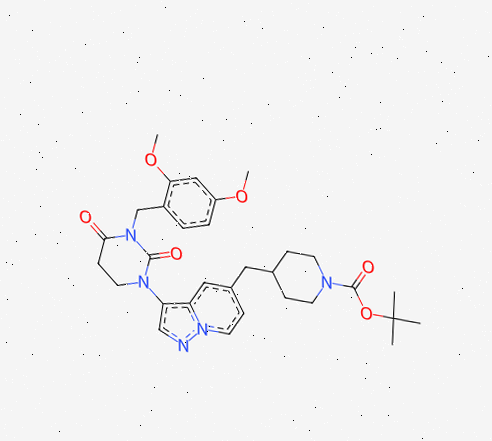 COc1ccc(CN2C(=O)CCN(c3cnn4ccc(CC5CCN(C(=O)OC(C)(C)C)CC5)cc34)C2=O)c(OC)c1